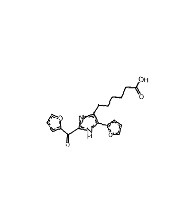 O=C(O)CCCCCc1nc(C(=O)c2ccco2)[nH]c1-c1ccco1